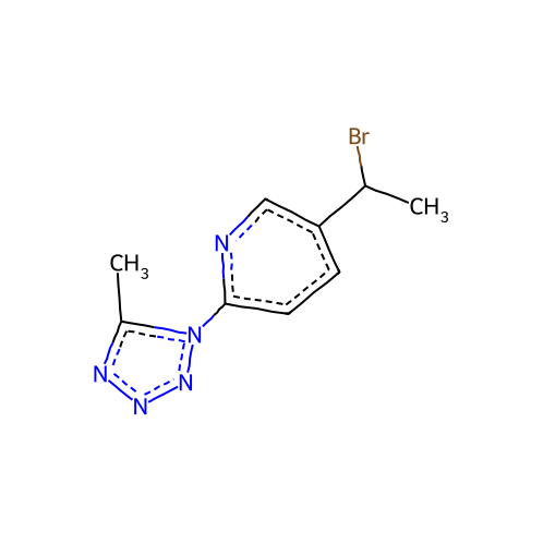 Cc1nnnn1-c1ccc(C(C)Br)cn1